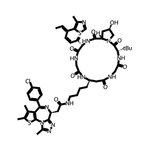 C=C(/C=C\C(=C/C)c1scnc1C)[C@@H]1NC(=O)[C@@H]2C[C@@H](O)CN2C(=O)[C@H](C(C)(C)C)NC(=O)CNC(=O)C[C@@H](CCCCNC(=O)C[C@@H]2N=C(c3ccc(Cl)cc3)c3c(sc(C)c3C)-n3c(C)nnc32)NC(=O)CNC1=O